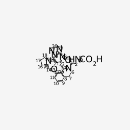 O=C(O)NCC(=O)N1CCc2cccc(OC[C@H]3CCCN3c3ccnc4ncnn34)c2C1